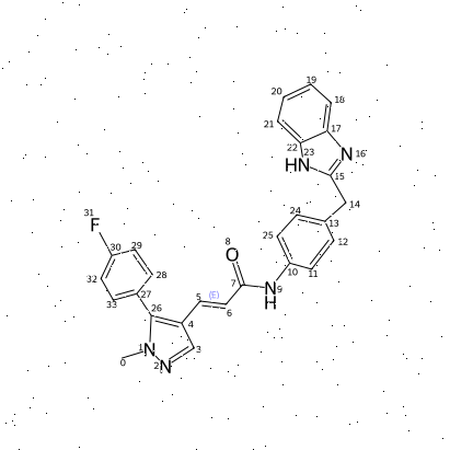 Cn1ncc(/C=C/C(=O)Nc2ccc(Cc3nc4ccccc4[nH]3)cc2)c1-c1ccc(F)cc1